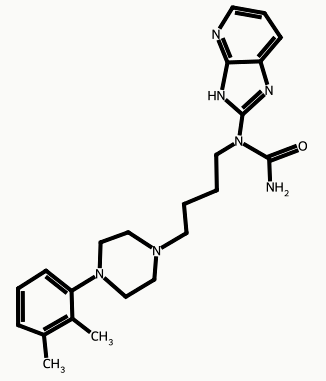 Cc1cccc(N2CCN(CCCCN(C(N)=O)c3nc4cccnc4[nH]3)CC2)c1C